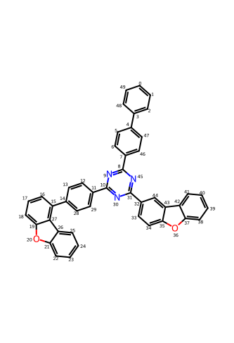 c1ccc(-c2ccc(-c3nc(-c4ccc(-c5cccc6oc7ccccc7c56)cc4)nc(-c4ccc5oc6ccccc6c5c4)n3)cc2)cc1